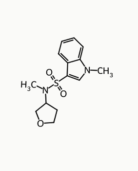 CN(C1CCOC1)S(=O)(=O)c1cn(C)c2ccccc12